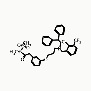 CN(C(=O)Cc1cccc(OCCCN(Cc2cccc(C(F)(F)F)c2Cl)CC(c2ccccc2)c2ccccc2)c1)S(C)(=O)=O